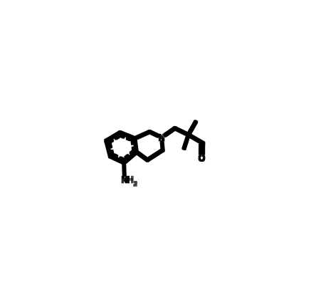 CC(C)(C=O)CN1CCc2c(N)cccc2C1